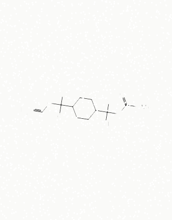 C=COC(C1CCC(C(OC(=O)OC)(C(F)(F)F)C(F)(F)F)CC1)(C(F)(F)F)C(F)(F)F